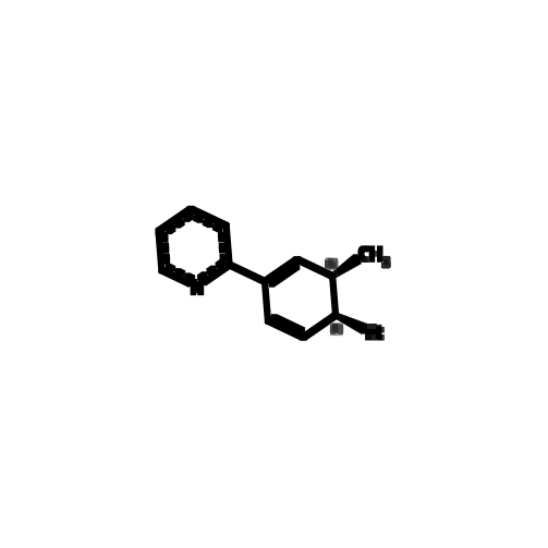 CC[C@H]1C=CC(c2ccccn2)=C[C@H]1C